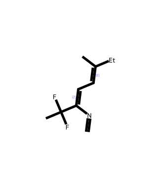 C=N/C(=C\C=C(/C)CC)C(C)(F)F